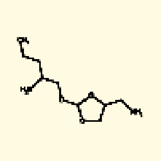 CCCC(N)COC1OCC(CN)O1